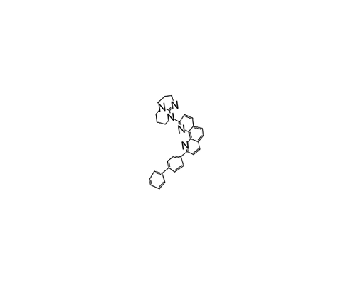 c1ccc(-c2ccc(-c3ccc4ccc5ccc(N6CCCN7CCCN=C76)nc5c4n3)cc2)cc1